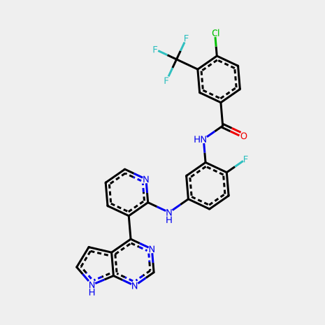 O=C(Nc1cc(Nc2ncccc2-c2ncnc3[nH]ccc23)ccc1F)c1ccc(Cl)c(C(F)(F)F)c1